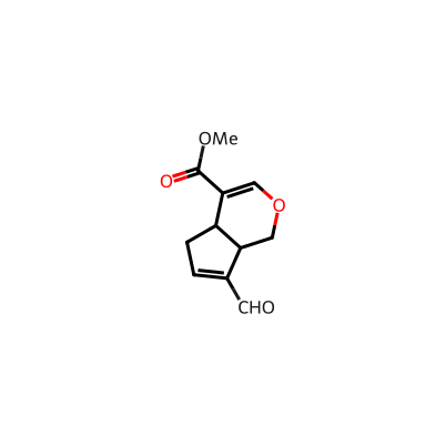 COC(=O)C1=COCC2C(C=O)=CCC12